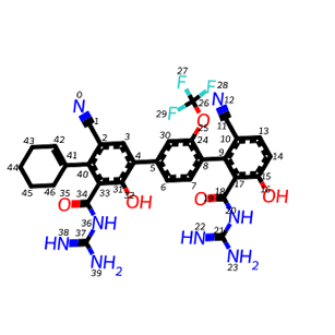 N#Cc1cc(-c2ccc(-c3c(C#N)ccc(O)c3C(=O)NC(=N)N)c(OC(F)(F)F)c2)c(O)c(C(=O)NC(=N)N)c1C1=CCCCC1